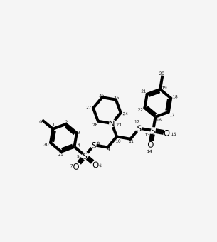 Cc1ccc(S(=O)(=O)SCC(CSS(=O)(=O)c2ccc(C)cc2)N2CCCCC2)cc1